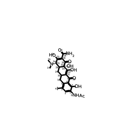 CC(=O)Nc1cc(I)c2c(c1O)C(=O)C1=C(O)[C@]3(O)C(=O)C(C(N)=O)=C(O)[C@@H](N(C)C)C3CC1C2